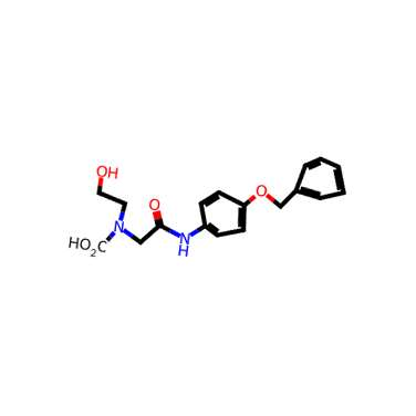 O=C(CN(CCO)C(=O)O)Nc1ccc(OCc2ccccc2)cc1